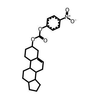 O=C(Oc1ccc([N+](=O)[O-])cc1)OC1CCC2C(=CCC3C4CCCC4CCC23)C1